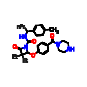 CCCC(NC(=O)N1C(=O)C(CC)(CC)C1Oc1ccc(C(=O)N2CCNCC2)cc1)c1ccc(C)cc1